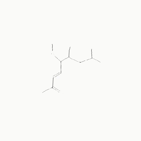 COC(/C=C/C(C)=O)C(C)CC(C)C